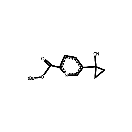 CC(C)(C)OC(=O)c1ccc(C2(C#N)CC2)cn1